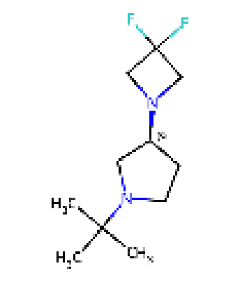 CC(C)(C)N1CC[C@H](N2CC(F)(F)C2)C1